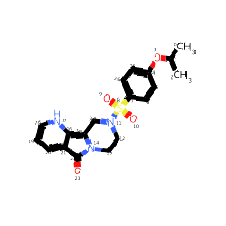 CC(C)Oc1ccc(S(=O)(=O)N2CCn3c(c4[nH]cccc-4c3=O)C2)cc1